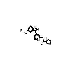 CC(C)Oc1ccc2[nH]nc(-c3ccnc(NC(=O)C4CCCC4)c3)c2c1